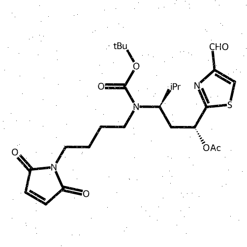 CC(=O)O[C@H](C[C@H](C(C)C)N(CCCCN1C(=O)C=CC1=O)C(=O)OC(C)(C)C)c1nc(C=O)cs1